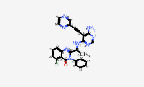 CC(Nc1ncnc(N)c1C#Cc1cnccn1)c1nc2cccc(Cl)c2c(=O)n1-c1ccccc1